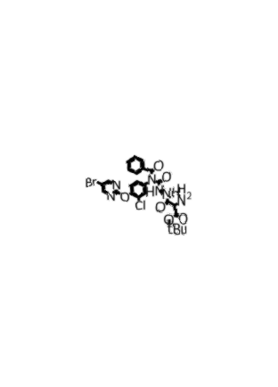 CC(C)(C)OC(=O)C(N)C(=O)NNC(=O)N(C(=O)c1ccccc1)c1ccc(Oc2ncc(Br)cn2)c(Cl)c1